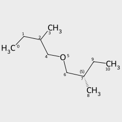 CCC(C)COC[C@@H](C)CC